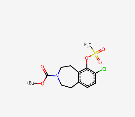 CC(C)(C)OC(=O)N1CCc2ccc(Cl)c(OS(=O)(=O)C(F)(F)F)c2CC1